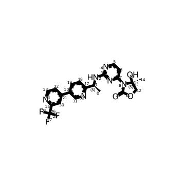 C[C@H](Nc1nccc(N2C(=O)OC[C@]2(C)O)n1)c1ccc(-c2ccnc(C(F)(F)F)c2)cn1